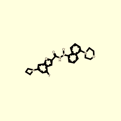 O=C(N[S+]([O-])c1cccc2c(N3CCOCC3)cccc12)c1cc2c(F)cc(N3CCC3)cc2o1